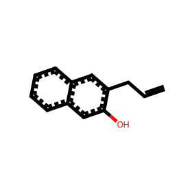 C=CCc1[c]c2ccccc2cc1O